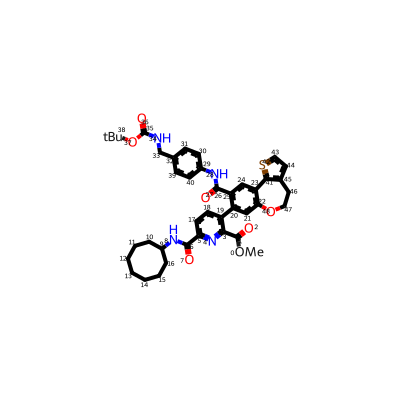 COC(=O)c1nc(C(=O)NC2CCCCCCC2)ccc1-c1cc2c(cc1C(=O)Nc1ccc(CNC(=O)OC(C)(C)C)cc1)-c1sccc1CCO2